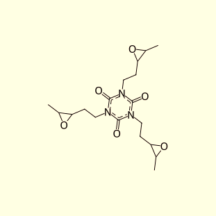 CC1OC1CCn1c(=O)n(CCC2OC2C)c(=O)n(CCC2OC2C)c1=O